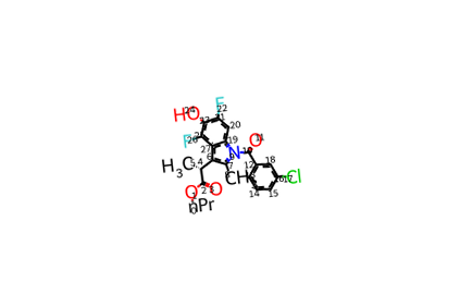 CCCOC(=O)[C@H](C)c1c(C)n(C(=O)c2cccc(Cl)c2)c2cc(F)c(O)c(F)c12